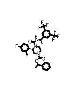 Cc1cc(F)ccc1[C@@H]1CN(C(=O)OC(C)c2ccccc2)CCN1C(=O)N(C)[C@H](C)c1cc(C(F)(F)F)cc(C(F)(F)F)c1